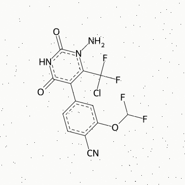 N#Cc1ccc(-c2c(C(F)(F)Cl)n(N)c(=O)[nH]c2=O)cc1OC(F)F